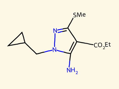 CCOC(=O)c1c(SC)nn(CC2CC2)c1N